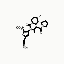 CC(CC(=O)N1CCCC1)N(c1cc(C#CC(C)(C)C)sc1C(=O)O)C(=O)[C@H]1CC[C@H](C)CC1